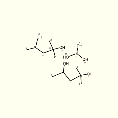 CC(O)CC(C)(C)O.CC(O)CC(C)(C)O.OB(O)O